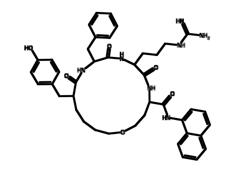 N=C(N)NCCCC1NC(=O)C(Cc2ccccc2)NC(=O)C(Cc2ccc(O)cc2)CCCCOCCC(C(=O)Nc2cccc3ccccc23)NC1=O